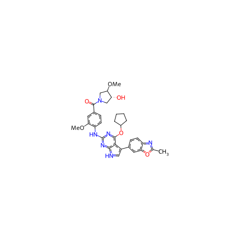 COc1cc(C(=O)N2CC(OC)[C@H](O)C2)ccc1Nc1nc(OC2CCCC2)c2c(-c3ccc4nc(C)oc4c3)c[nH]c2n1